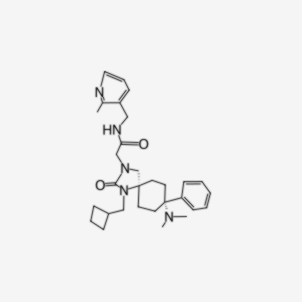 Cc1ncccc1CNC(=O)CN1C[C@]2(CC[C@@](c3ccccc3)(N(C)C)CC2)N(CC2CCC2)C1=O